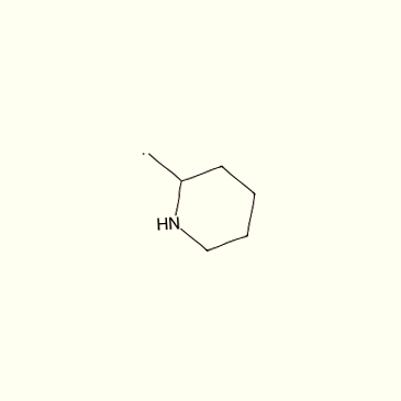 [CH2]C1CCCCN1